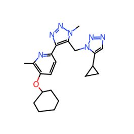 Cc1nc(-c2nnn(C)c2Cn2nncc2C2CC2)ccc1OC1CCCCC1